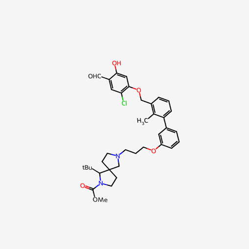 COC(=O)N1CCC2(CCN(CCCOc3cccc(-c4cccc(COc5cc(O)c(C=O)cc5Cl)c4C)c3)C2)C1C(C)(C)C